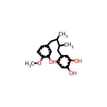 COc1ccc(CC(C)C(C)Cc2ccc(O)c(O)c2)cc1O